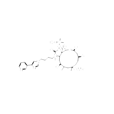 CC[C@H]1OC(=O)[C@H](C)C(=O)[C@H](C)[C]C(C)(OC)CC(C)C(=O)[C@H](C)[C@H]2N(CCCCn3cnc(-c4cccnc4)c3)C(=O)O[C@]12CO[Si](C)(C)C(C)(C)C